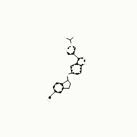 N#Cc1ccc2c(c1)CCC2Oc1ccc2[nH]nc(-c3cnn(C(F)F)c3)c2c1